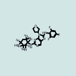 [2H]C1([2H])CC([2H])(O)C([2H])([2H])C([2H])([2H])C1([2H])Nc1ncc2nc(Nc3c(F)cc(F)cc3F)n(C3CCOC3)c2n1